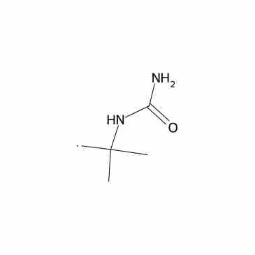 [CH2]C(C)(C)NC(N)=O